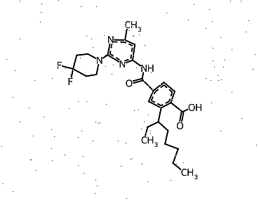 CCCCCC(CC)c1cc(C(=O)Nc2cc(C)nc(N3CCC(F)(F)CC3)n2)ccc1C(=O)O